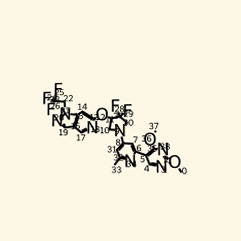 COc1ncc(-c2cc(N3CC(Oc4cc5c(cn4)cnn5CC(F)(F)F)C(F)(F)C3)cc(C)n2)c(OC)n1